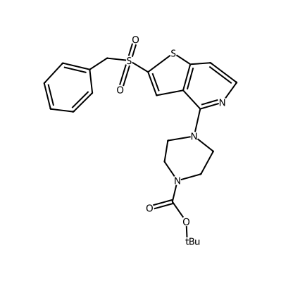 CC(C)(C)OC(=O)N1CCN(c2nccc3sc(S(=O)(=O)Cc4ccccc4)cc23)CC1